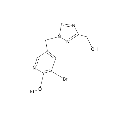 CCOc1ncc(Cn2cnc(CO)n2)cc1Br